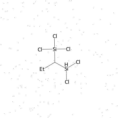 CCC([SiH](Cl)Cl)[Si](Cl)(Cl)Cl